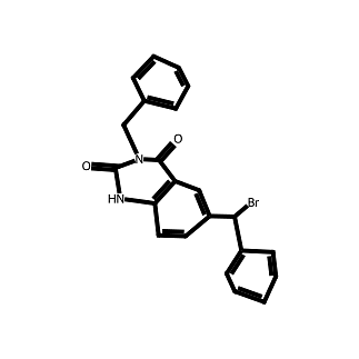 O=c1[nH]c2ccc(C(Br)c3ccccc3)cc2c(=O)n1Cc1ccccc1